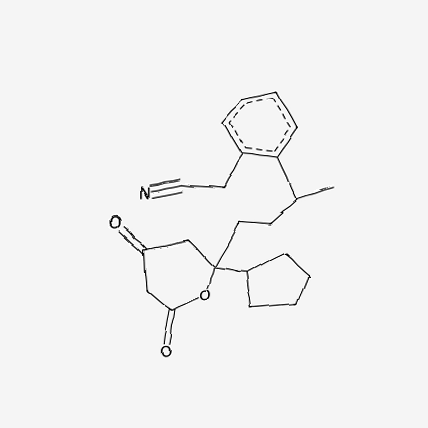 CC(CCC1(C2CCCC2)CC(=O)CC(=O)O1)c1ccccc1CC#N